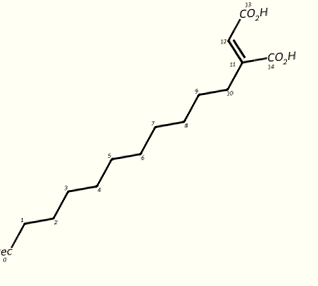 CCCCCCCCCCCCCCCCCCCC/C(=C/C(=O)O)C(=O)O